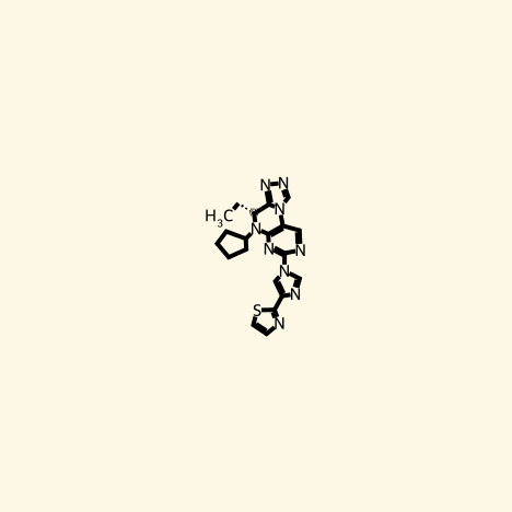 CC[C@@H]1c2nncn2-c2cnc(-n3cnc(-c4nccs4)c3)nc2N1C1CCCC1